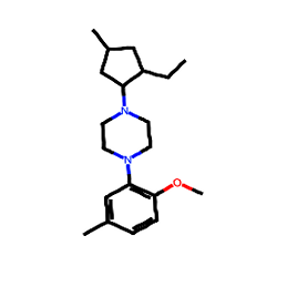 CCC1CC(C)CC1N1CCN(c2cc(C)ccc2OC)CC1